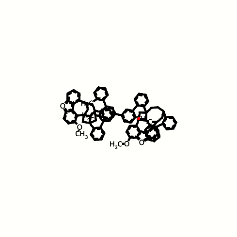 COc1ccc2oc3cccc4c3c2c1C12CC4CC3(c4ccc(-c5ccc(C)c(-c6ccccc6C67CCC8CC9CC(C6)(c6ccc(OC)c%10oc%11cccc9c%11c6%10)C7c6ccccc6-c6ccccc68)c5)cc4-c4ccccc4C)CC(c4ccccc4-c4ccccc4C)(C1)C32